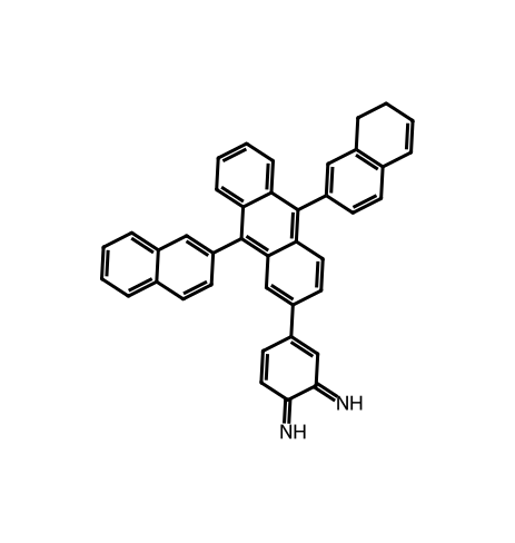 N=C1C=CC(c2ccc3c(-c4ccc5c(c4)CCC=C5)c4ccccc4c(-c4ccc5ccccc5c4)c3c2)=CC1=N